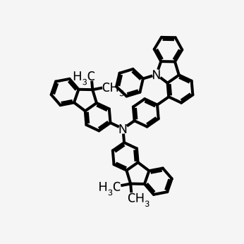 CC1(C)c2ccccc2-c2cc(N(c3ccc(-c4cccc5c6ccccc6n(-c6ccccc6)c45)cc3)c3ccc4c(c3)C(C)(C)c3ccccc3-4)ccc21